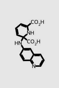 O=C(O)C1=CC=CC(Nc2ccc3ncccc3c2)(C(=O)O)N1